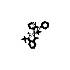 CB1C(C(C)(C)C)=c2ccccc2=C(C)N1N1c2cccnc2N(c2ccccc2)C1(C)C